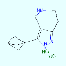 C1Cc2n[nH]c(C34CC(C3)C4)c2CN1.Cl.Cl